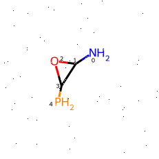 NC1OC1P